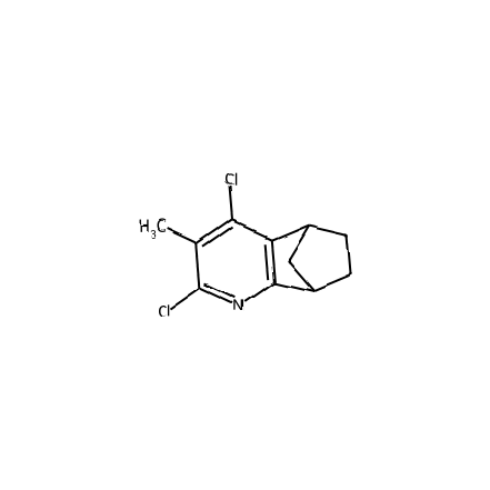 Cc1c(Cl)nc2c(c1Cl)C1CCC2C1